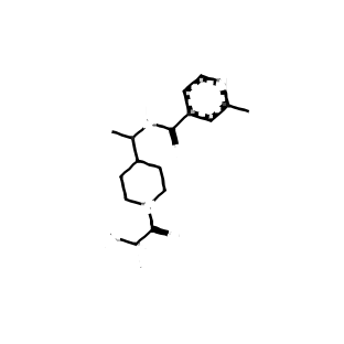 Cc1cc(C(=O)NC(C)C2CCN(C(=O)[C@H](C)N)CC2)ccn1